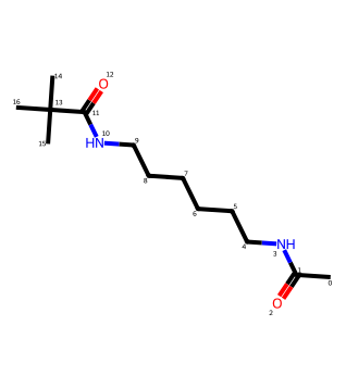 CC(=O)NCCCCCCNC(=O)C(C)(C)C